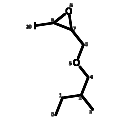 CCC(C)COCC1OC1I